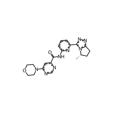 C[C@H]1CCc2nnc(-c3cccc(NC(=O)c4cc(N5CCOCC5)ncn4)n3)n21